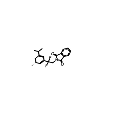 CC(C)C1=CC(C(F)(F)CN2C(=O)c3ccccc3C2=O)=C[C@H](C)C1